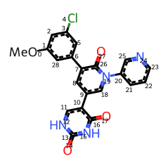 COc1cc(Cl)cc(-c2cc(-c3c[nH]c(=O)[nH]c3=O)cn(-c3cccnc3)c2=O)c1